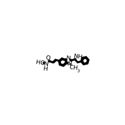 Cn1c(C(N)Cc2ccccc2)nc2cc(/C=C/C(=O)NO)ccc21